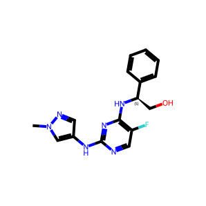 Cn1cc(Nc2ncc(F)c(N[C@H](CO)c3ccccc3)n2)cn1